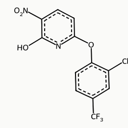 O=[N+]([O-])c1ccc(Oc2ccc(C(F)(F)F)cc2Cl)nc1O